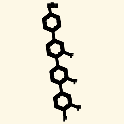 CCCCc1ccc(-c2ccc(-c3ccc(-c4ccc(F)c(F)c4)c(F)c3)c(F)c2)cc1